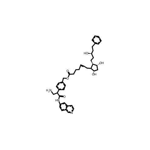 NCC(C(=O)Nc1ccc2cnccc2c1)c1ccc(COC(=O)CCC/C=C\CC2[C@@H](CC[C@@H](O)CCc3ccccc3)[C@H](O)C[C@@H]2O)cc1